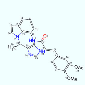 COc1ccc(C=CC(=O)Nc2cccc3ccn(C(C)c4c[nH]cn4)c23)cc1OC(C)=O